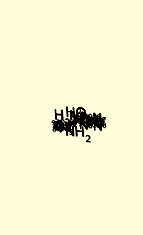 N/C(=C\C=C(/N)N1CCCC1)c1ncc(-n2nccn2)cc1O